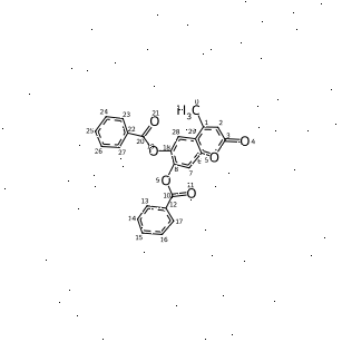 Cc1cc(=O)oc2cc(OC(=O)c3ccccc3)c(OC(=O)c3ccccc3)cc12